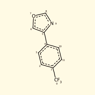 FC(F)(F)c1ccc(-c2co[c]n2)cc1